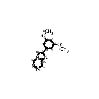 COc1cc(OC)cc(-c2cn3cnncc3n2)c1